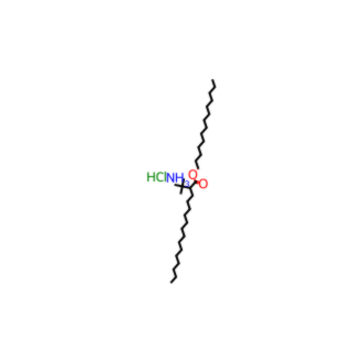 CCCCCCCCCCCCCCOC(=O)C(CCCCCCCCCCCCCC)C(C)(C)C.Cl.N